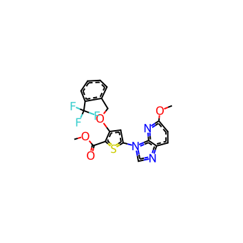 COC(=O)c1sc(-n2cnc3ccc(OC)nc32)cc1OCc1ccccc1C(F)(F)F